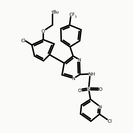 CC(C)(C)COc1cc(-c2cnc(NS(=O)(=O)c3cccc(Cl)n3)nc2-c2ccc(C(F)(F)F)cc2)ccc1Cl